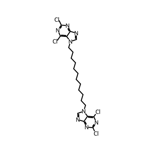 Clc1nc(Cl)c2c(ncn2CCCCCCCCCCCCn2cnc3nc(Cl)nc(Cl)c32)n1